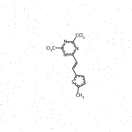 Cc1ccc(/C=C/c2nc(C(Cl)(Cl)Cl)nc(C(Cl)(Cl)Cl)n2)s1